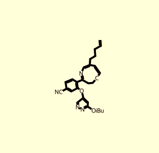 C=CCCCC1=C/N=C(/c2ccc(C#N)cc2Oc2cnnc(OCC(C)C)c2)CCC/C=C\1